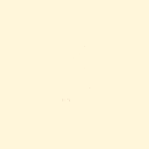 CCC/C(C)=C\C/C=C\C=C\N